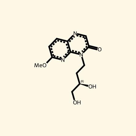 COc1ccc2ncc(=O)n(CC[C@@H](O)CO)c2n1